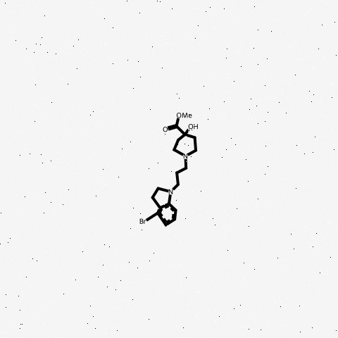 COC(=O)C1(O)CCN(CCCN2CCc3c(Br)cccc32)CC1